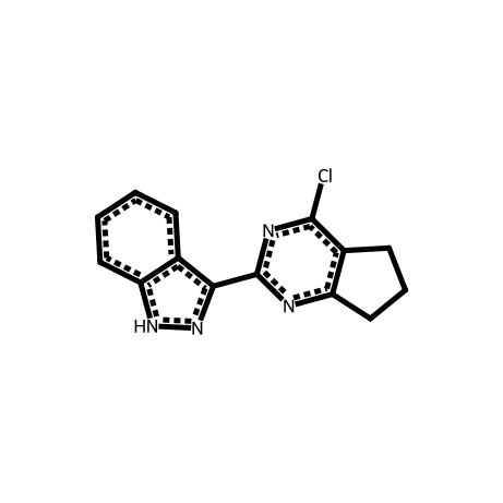 Clc1nc(-c2n[nH]c3ccccc23)nc2c1CCC2